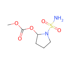 COC(=O)OC1CCCN1S(N)(=O)=O